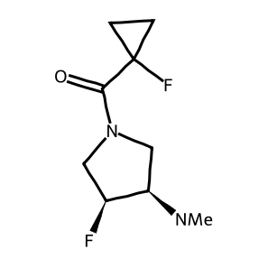 CN[C@@H]1CN(C(=O)C2(F)CC2)C[C@@H]1F